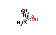 COc1ccc([C@H]2C[C@@H]2COc2nc(C)ncc2[C@H]2CC[C@@H](C(=O)O)CC2)nc1